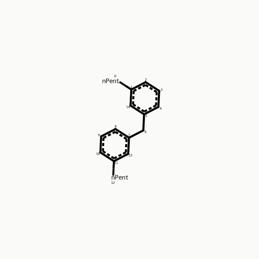 CCCCCc1cccc(Cc2cccc(CCCCC)c2)c1